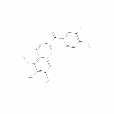 COc1ccc(C(=O)c2ccc3c(OC)c(CO)c(CO)cc3n2)cc1F